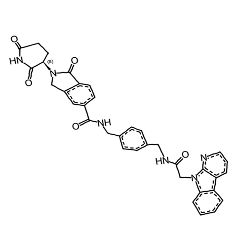 O=C(Cn1c2ccccc2c2cccnc21)NCc1ccc(CNC(=O)c2ccc3c(c2)CN([C@@H]2CCC(=O)NC2=O)C3=O)cc1